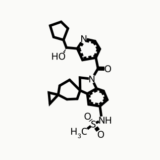 CS(=O)(=O)Nc1ccc2c(c1)C1(CCC3(CC3)CC1)CN2C(=O)c1ccnc([C@H](O)C2CCCC2)c1